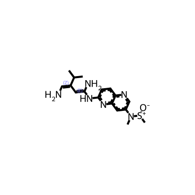 CC(C)C(=C/N)/C=C(\N)Nc1ccc2ncc(N(C)[S+](C)[O-])cc2n1